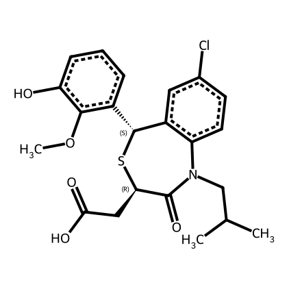 COc1c(O)cccc1[C@H]1S[C@H](CC(=O)O)C(=O)N(CC(C)C)c2ccc(Cl)cc21